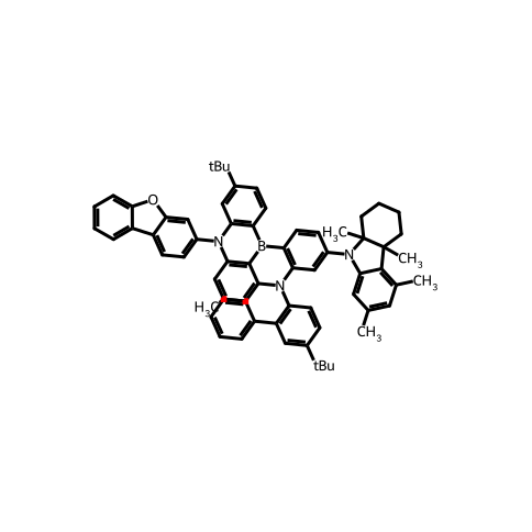 Cc1cc2c3c(c1)N(c1ccc(C(C)(C)C)cc1-c1ccccc1)c1cc(N4c5cc(C)cc(C)c5C5(C)CCCCC45C)ccc1B3c1ccc(C(C)(C)C)cc1N2c1ccc2c(c1)oc1ccccc12